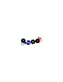 Clc1ccccc1CN1CCN(C2CCC(c3ccc4c(c3)OCO4)CC2)CC1